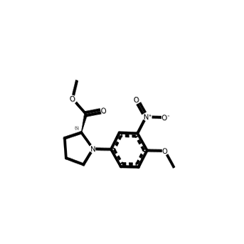 COC(=O)[C@@H]1CCCN1c1ccc(OC)c([N+](=O)[O-])c1